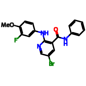 COc1ccc(Nc2ncc(Br)cc2C(=O)Nc2ccccc2)cc1F